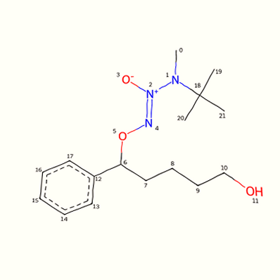 CN(/[N+]([O-])=N/OC(CCCCO)c1ccccc1)C(C)(C)C